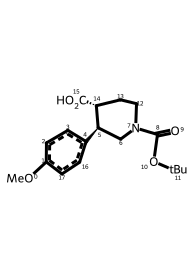 COc1ccc([C@@H]2CN(C(=O)OC(C)(C)C)CC[C@H]2C(=O)O)cc1